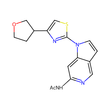 CC(=O)Nc1cc2c(ccn2-c2nc(C3CCOC3)cs2)cn1